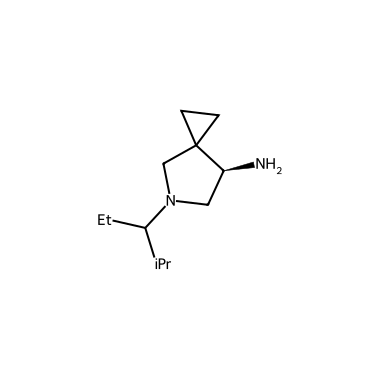 CCC(C(C)C)N1C[C@H](N)C2(CC2)C1